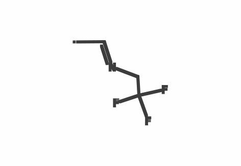 [CH2]C=NCC(F)(F)F